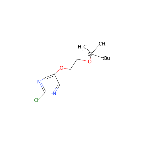 CC(C)(C)[Si](C)(C)OCCOc1cnc(Cl)nc1